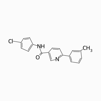 Cc1cccc(-c2ccc(C(=O)Nc3ccc(Cl)cc3)cn2)c1